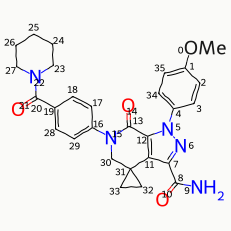 COc1ccc(-n2nc(C(N)=O)c3c2C(=O)N(c2ccc(C(=O)N4CCCCC4)cc2)CC32CC2)cc1